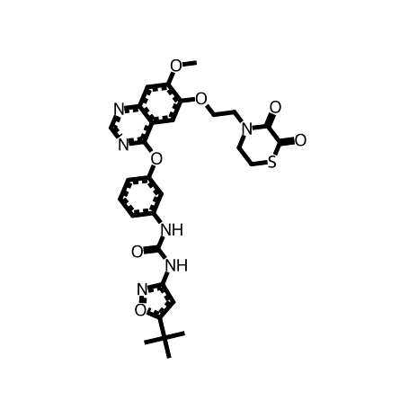 COc1cc2ncnc(Oc3cccc(NC(=O)Nc4cc(C(C)(C)C)on4)c3)c2cc1OCCN1CCSC(=O)C1=O